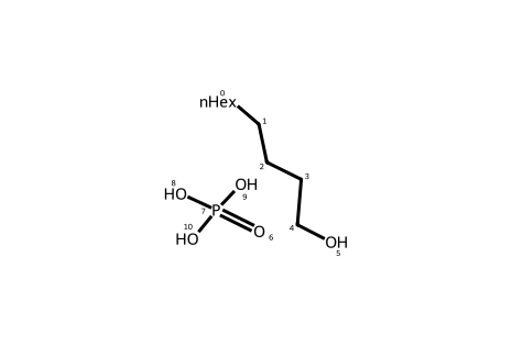 CCCCCCCCCCO.O=P(O)(O)O